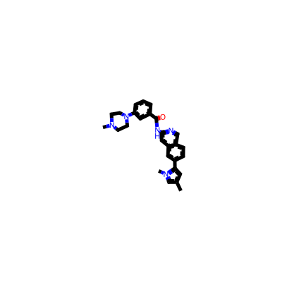 Cc1cc(-c2ccc3cnc(NC(=O)c4cccc(N5CCN(C)CC5)c4)cc3c2)n(C)c1